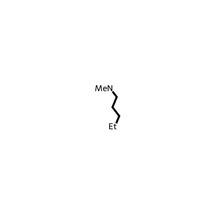 [C]NCCCCC